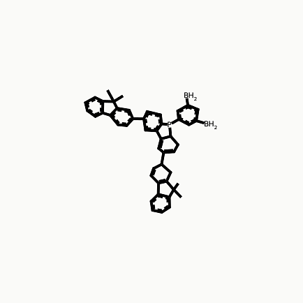 Bc1cc(B)cc(P2c3ccc(-c4ccc5c(c4)C(C)(C)c4ccccc4-5)cc3C3=CC(C4C=CC5=C(C4)C(C)(C)c4ccccc45)=CCC32)c1